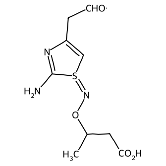 CC(CC(=O)O)O/N=S1/C=C(C[C]=O)N=C1N